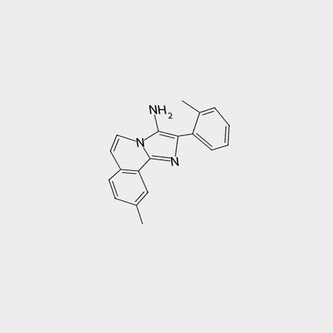 Cc1ccc2ccn3c(N)c(-c4ccccc4C)nc3c2c1